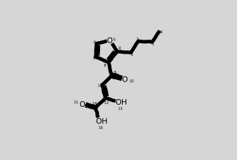 CCCCc1occc1C(=O)C=C(O)C(=O)O